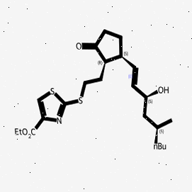 CCCC[C@H](C)C[C@H](O)/C=C/[C@@H]1CCC(=O)[C@@H]1CCSc1nc(C(=O)OCC)cs1